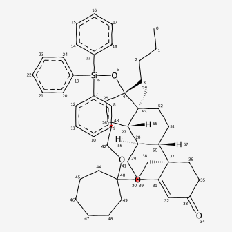 CCCC[C@]1(O[Si](c2ccccc2)(c2ccccc2)c2ccccc2)CC[C@H]2[C@@H]3CCC4=CC(=O)CC[C@]4(COC4(OCC)CCCCCC4)[C@H]3CC[C@@]21C